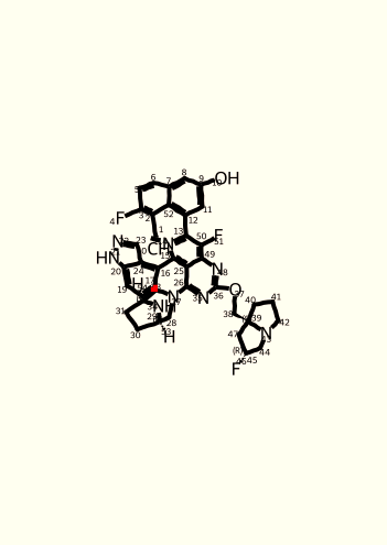 C#Cc1c(F)ccc2cc(O)cc(-c3nc(-c4cccc5[nH]ncc45)c4c(N5C[C@H]6CC[C@@H](C5)N6)nc(OC[C@@]56CCCN5C[C@H](F)C6)nc4c3F)c12